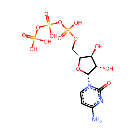 Nc1ccn([C@@H]2O[C@H](COP(=O)(O)OP(=O)(O)OP(=O)(O)O)[C@@H](O)[C@@H]2O)c(=O)n1